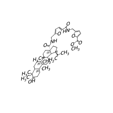 C=C(C)[C@@H]1CC[C@]2(C(=O)NCc3ccc(C(=O)NCc4ccc(C(=O)OC)o4)o3)CC[C@]3(C)C(CCC4[C@@]5(C)CC[C@H](O)C(C)(C)C5CC[C@]43C)C12